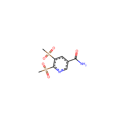 CS(=O)(=O)c1cc(C(N)=O)cnc1S(C)(=O)=O